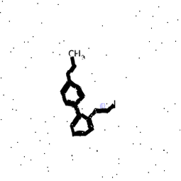 CCCc1ccc(-c2ccccc2/C=C/I)cc1